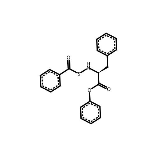 O=C(SN[C@@H](Cc1ccccc1)C(=O)Oc1ccccc1)c1ccccc1